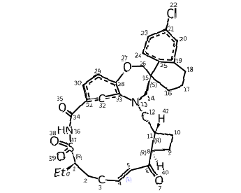 CC[C@@H]1CC/C=C/C(=O)[C@@H]2CC[C@H]2CN2C[C@@]3(CCCc4cc(Cl)ccc43)COc3ccc(cc32)C(=O)NS1(=O)=O